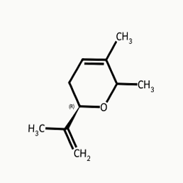 C=C(C)[C@H]1CC=C(C)C(C)O1